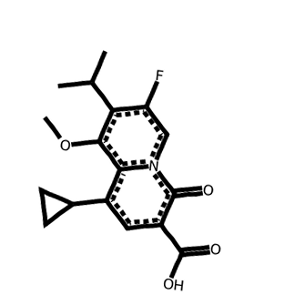 COc1c(C(C)C)c(F)cn2c(=O)c(C(=O)O)cc(C3CC3)c12